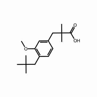 COc1cc(CC(C)(C)C(=O)O)ccc1CC(C)(C)C